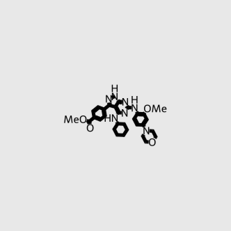 COC(=O)c1ccc(-c2n[nH]c3nc(Nc4ccc(N5CCOCC5)cc4OC)nc(NC4CCCCC4)c23)cc1